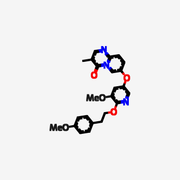 COc1ccc(CCOc2ncc(Oc3ccc4ncc(C)c(=O)n4c3)cc2OC)cc1